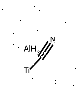 N#[C][Ti].[AlH3]